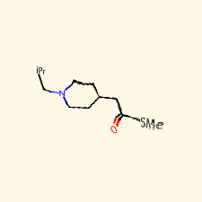 CSC(=O)CC1CCN(CC(C)C)CC1